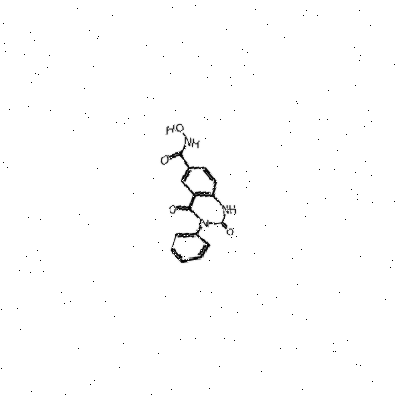 O=C(NO)c1ccc2[nH]c(=O)n(-c3ccccc3)c(=O)c2c1